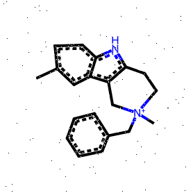 Cc1ccc2[nH]c3c(c2c1)C[N+](C)(Cc1ccccc1)CC3